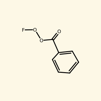 O=C(OOF)c1ccccc1